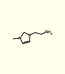 CN1C=CN(CCN)C1